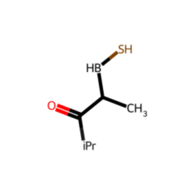 CC(C)C(=O)C(C)BS